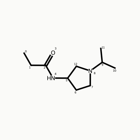 CCC(=O)NC1CCN(C(C)C)C1